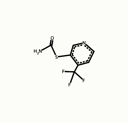 NC(=O)Sc1cnccc1C(F)(F)F